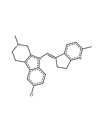 Cc1ccc2c(n1)CC/C2=C\n1c2c(c3cc(Cl)ccc31)CCN(C)C2